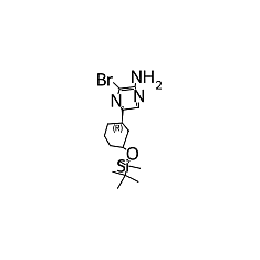 CC(C)(C)[Si](C)(C)OC1CCC[C@@H](c2cnc(N)c(Br)n2)C1